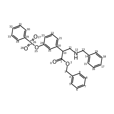 O=C(OCc1ccccc1)C(CNCc1ccccc1)c1cccc(OS(=O)(=O)c2ccccc2)c1